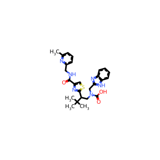 Cc1cccc(CNC(=O)c2csc(C(CN(Cc3nc4ccccc4[nH]3)C(=O)O)C(C)(C)C)n2)n1